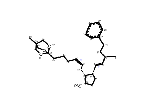 CC(/C=C/[C@H]1CC[C@H](N=O)[C@@H]1C/C=C\CCCC12OCC(C)(CO1)CO2)CCc1ccccc1